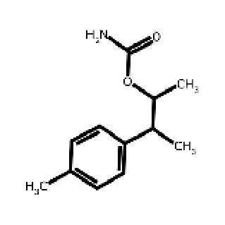 Cc1ccc(C(C)C(C)OC(N)=O)cc1